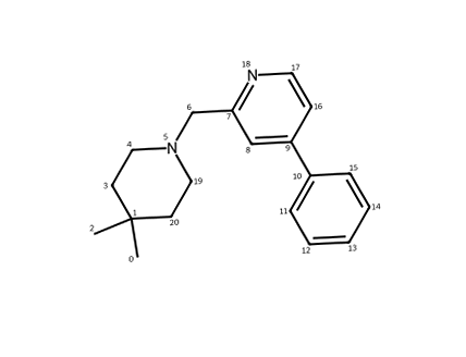 CC1(C)CCN(Cc2cc(-c3ccccc3)ccn2)CC1